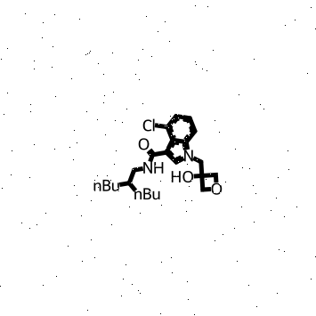 CCCCC(CCCC)CNC(=O)c1cn(CC2(O)COC2)c2cccc(Cl)c12